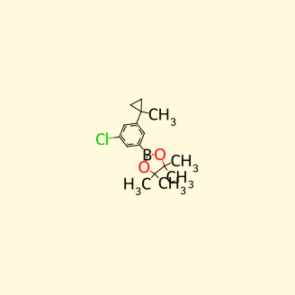 CC1(c2cc(Cl)cc(B3OC(C)(C)C(C)(C)O3)c2)CC1